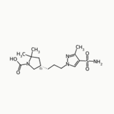 Cc1nn(CCC[C@@H]2CN(C(=O)O)C(C)(C)C2)cc1S(N)(=O)=O